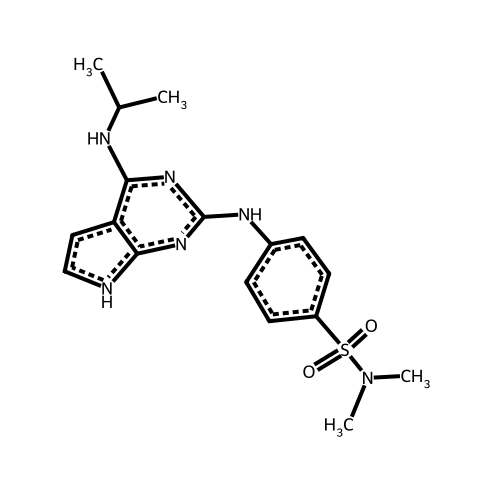 CC(C)Nc1nc(Nc2ccc(S(=O)(=O)N(C)C)cc2)nc2[nH]ccc12